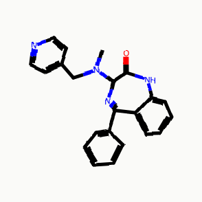 CN(Cc1ccncc1)C1N=C(c2ccccc2)c2ccccc2NC1=O